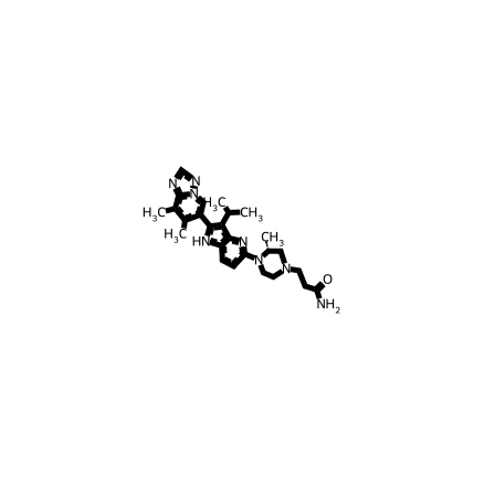 Cc1c(-c2[nH]c3ccc(N4CCN(CCC(N)=O)C[C@H]4C)nc3c2C(C)C)cn2ncnc2c1C